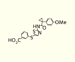 COc1ccc(C2(C(=O)Nc3ncc(Sc4cccc(C(=O)O)c4)s3)CC2)cc1